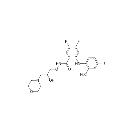 Cc1cc(I)ccc1Nc1cc(F)c(F)cc1C(=O)NOCC(O)CN1CCOCC1